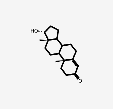 C[C@]12CCC(=O)C=C1CCC1C2CC[C@@]2(C)C1CC[C@H]2O